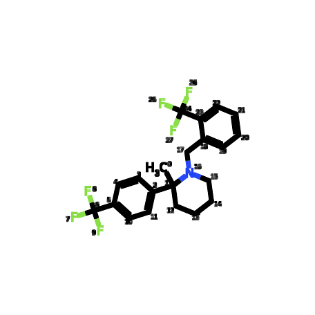 CC1(c2ccc(C(F)(F)F)cc2)C[CH]CCN1Cc1ccccc1C(F)(F)F